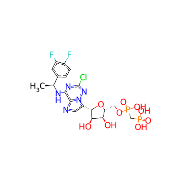 C[C@H](Nc1nc(Cl)nn2c([C@@H]3O[C@H](COP(=O)(O)CP(=O)(O)O)[C@@H](O)[C@H]3O)cnc12)c1ccc(F)c(F)c1